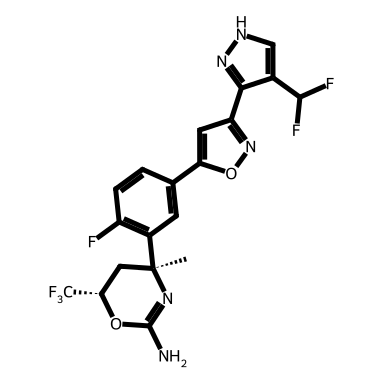 C[C@@]1(c2cc(-c3cc(-c4n[nH]cc4C(F)F)no3)ccc2F)C[C@@H](C(F)(F)F)OC(N)=N1